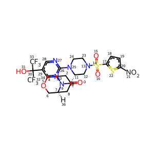 O=C1CC2COC[C@H](C1)N2C[C@H]1CN(S(=O)(=O)c2ccc([N+](=O)[O-])s2)CCN1c1ncc(C(O)(C(F)(F)F)C(F)(F)F)cn1